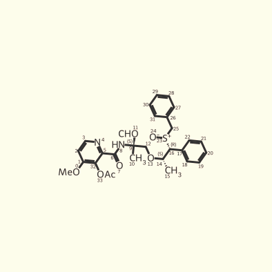 COc1ccnc(C(=O)N[C@](C)(C=O)CO[C@@H](C)[C@@H](c2ccccc2)[S+]([O-])Cc2ccccc2)c1OC(C)=O